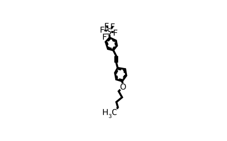 CCCCCOc1ccc(C#Cc2ccc(S(F)(F)(F)(F)F)cc2)cc1